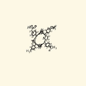 C[n+]1ccc(-c2c3nc(c(-c4cc[n+](C)cc4)c4ccc([nH]4)c(-c4cc[n+](CC(=O)O)cc4)c4nc(c(-c5cc[n+](C)cc5)c5ccc2[nH]5)C=C4)C=C3)cc1.[I-].[I-].[I-].[I-]